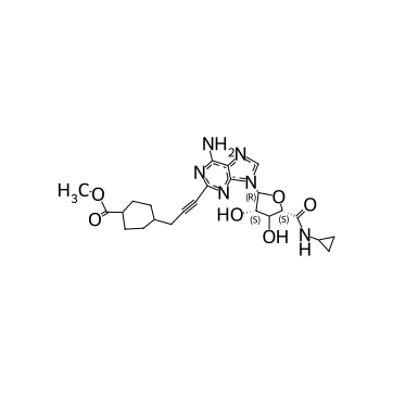 COC(=O)C1CCC(CC#Cc2nc(N)c3ncn([C@@H]4O[C@H](C(=O)NC5CC5)C(O)[C@@H]4O)c3n2)CC1